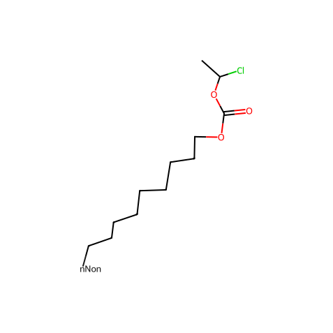 CCCCCCCCCCCCCCCCCCOC(=O)OC(C)Cl